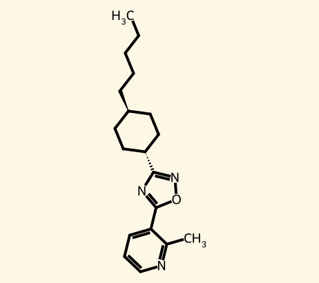 CCCCC[C@H]1CC[C@H](c2noc(-c3cccnc3C)n2)CC1